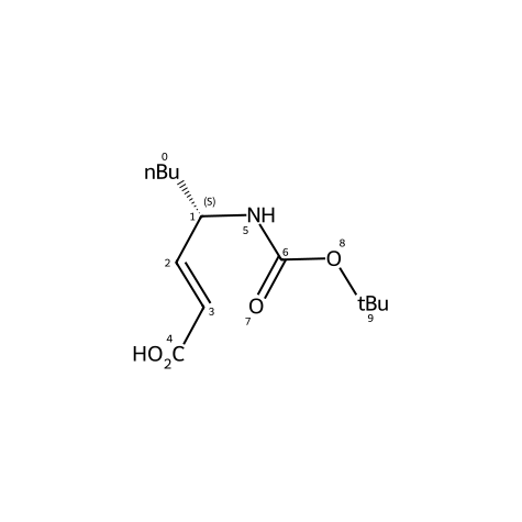 CCCC[C@@H](C=CC(=O)O)NC(=O)OC(C)(C)C